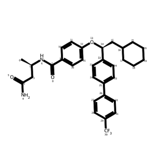 C[C@H](CC(N)=O)NC(=O)c1ccc(O[C@@H](CC2CCCCC2)c2ccc(-c3ccc(C(F)(F)F)cc3)cc2)cc1